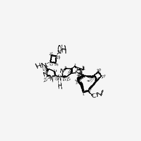 N#Cc1ccc(-n2ncc3cnc(Nc4cc(N[C@H]5C[C@@H](O)C5)ncn4)cc32)c2c1CC2